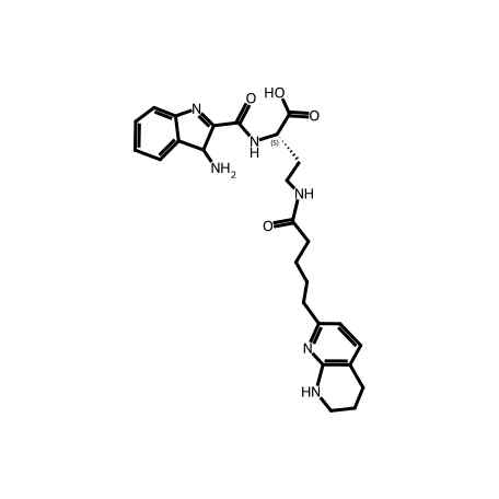 NC1C(C(=O)N[C@@H](CCNC(=O)CCCCc2ccc3c(n2)NCCC3)C(=O)O)=Nc2ccccc21